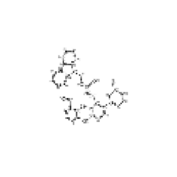 O=Cc1cccnc1Sc1c(Cl)ccc(C2=CC=NC(F)C2)c1CNC(=O)OCC1c2ccccc2-c2ccccc21